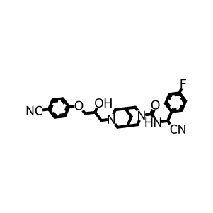 N#Cc1ccc(OCC(O)CN2CC3CC(C2)CN(C(=O)NC(C#N)c2ccc(F)cc2)C3)cc1